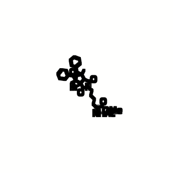 COC(=O)[C@H](CCCCN1C(=O)C2C3(C)C(=O)C(C)(C(c4ccccc4)=C3c3ccccc3)C2(Br)C1=O)NC(C)=O